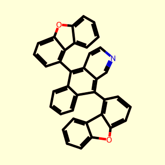 c1ccc2c(c1)oc1cccc(-c3c4ccccc4c(-c4cccc5oc6ccccc6c45)c4cnccc34)c12